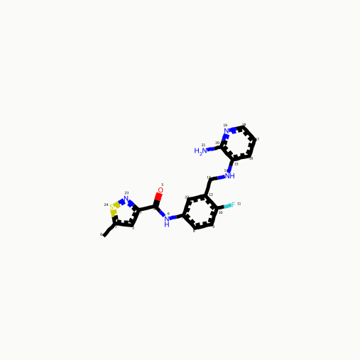 Cc1cc(C(=O)Nc2ccc(F)c(CNc3cccnc3N)c2)ns1